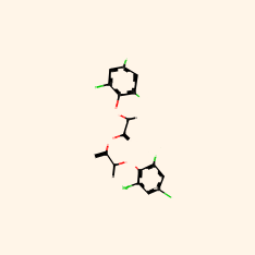 C=C(OC(=C)C(C)Oc1c(Cl)cc(Cl)cc1Cl)C(C)Oc1c(Cl)cc(Cl)cc1Cl